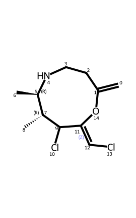 C=C1CCN[C@H](C)[C@@H](C)C(Cl)/C(=C/Cl)O1